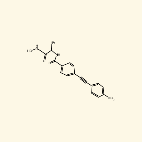 CC(C)C(NC(=O)c1ccc(C#Cc2ccc([N+](=O)[O-])cc2)cc1)C(=O)NO